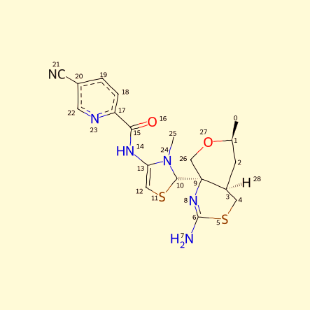 C[C@H]1C[C@H]2CSC(N)=N[C@@]2(C2SC=C(NC(=O)c3ccc(C#N)cn3)N2C)CO1